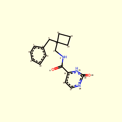 O=C(NCC1(Cc2ccccc2)CCC1)c1ccnc(=O)[nH]1